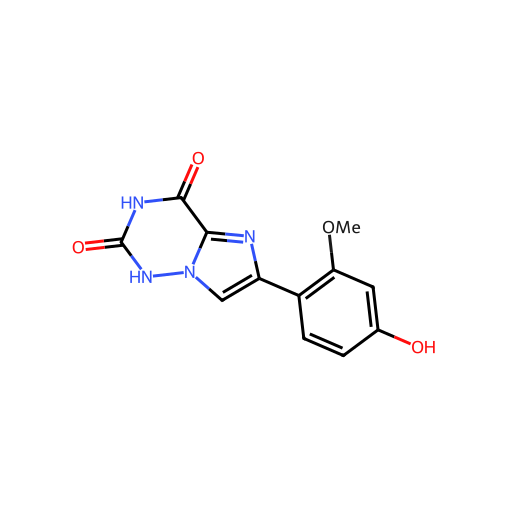 COc1cc(O)ccc1-c1cn2[nH]c(=O)[nH]c(=O)c2n1